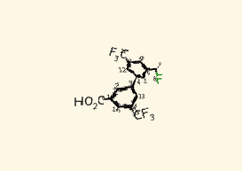 O=C(O)c1cc(-c2cc(CF)cc(C(F)(F)F)c2)cc(C(F)(F)F)c1